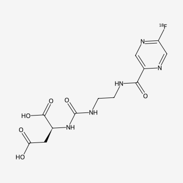 O=C(O)C[C@H](NC(=O)NCCNC(=O)c1cnc([18F])cn1)C(=O)O